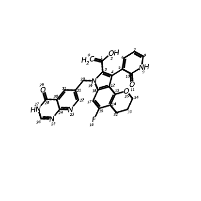 C=C(O)c1c(-c2ccc[nH]c2=O)c2c3c(c(F)cc2n1Cc1cnc2nc[nH]c(=O)c2c1)CCCO3